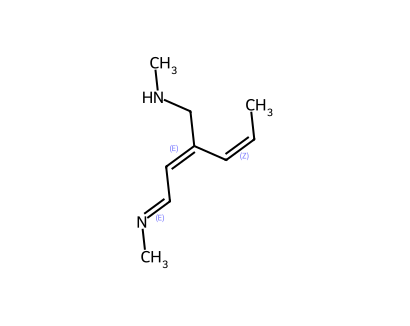 C\C=C/C(=C\C=N\C)CNC